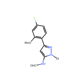 CCn1nc(-c2ccc(F)cc2OC)cc1NC=O